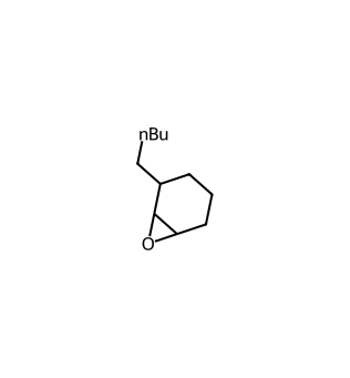 CCCCCC1CCCC2OC12